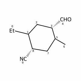 CCC1C[C@H](C=O)C(C)C[C@@H]1C#N